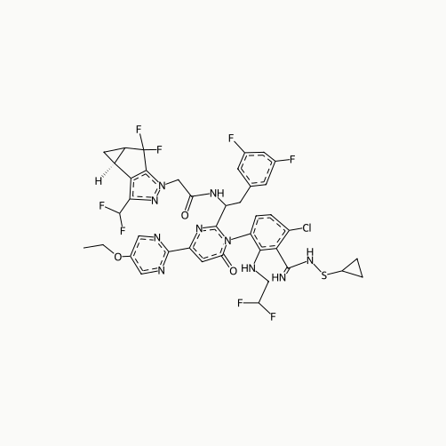 CCOc1cnc(-c2cc(=O)n(-c3ccc(Cl)c(C(=N)NSC4CC4)c3NCC(F)F)c(C(Cc3cc(F)cc(F)c3)NC(=O)Cn3nc(C(F)F)c4c3C(F)(F)C3C[C@H]43)n2)nc1